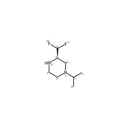 CC(C)N1CCN[C@@H](C(F)F)C1